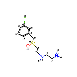 CN(C)CCN(C)CC[S+]([O-])Cc1cccc(F)c1